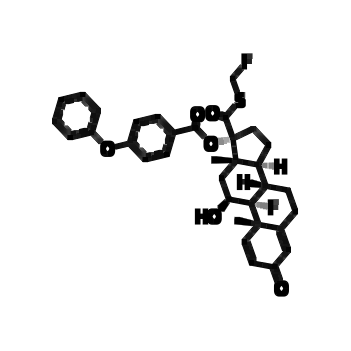 C[C@]12C=CC(=O)C=C1CC[C@H]1[C@@H]3CC[C@](OC(=O)c4ccc(Oc5ccccc5)cc4)(C(=O)SCF)[C@@]3(C)C[C@H](O)[C@@]12F